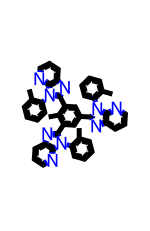 Cc1ccccc1-n1c(-c2cc(-c3nc4cccnc4n3-c3ccccc3C)c(C)c(-c3nc4cccnc4n3-c3ccccc3C)c2)nc2cccnc21